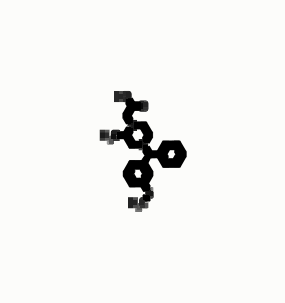 CSc1cccc([C@H](c2ccccc2)N2CCN(CC(=O)O)C(C)C2)c1